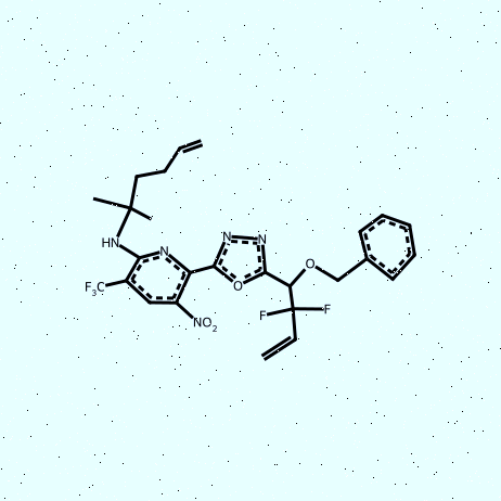 C=CCCC(C)(C)Nc1nc(-c2nnc(C(OCc3ccccc3)C(F)(F)C=C)o2)c([N+](=O)[O-])cc1C(F)(F)F